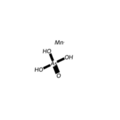 O=[As](O)(O)O.[Mn]